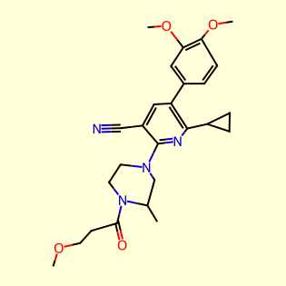 COCCC(=O)N1CCN(c2nc(C3CC3)c(-c3ccc(OC)c(OC)c3)cc2C#N)CC1C